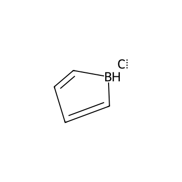 B1C=CC=C1.[C]